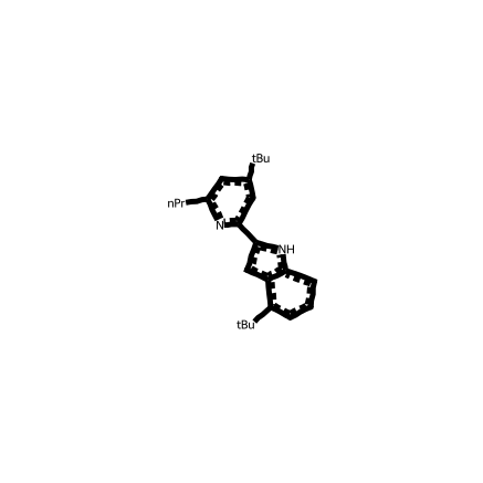 CCCc1cc(C(C)(C)C)cc(-c2cc3c(C(C)(C)C)cccc3[nH]2)n1